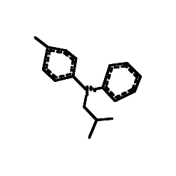 Cc1ccc([I+](CC(C)C)c2ccccc2)cc1